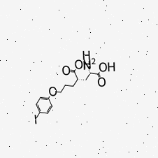 N[C@@H](C[C@H](CCCOc1ccc(I)cc1)C(=O)O)C(=O)O